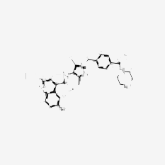 Cc1nn(Cc2ccc(C(=O)N3CCOCC3)cc2)c(C)c1NC(=O)c1cc(C(F)(F)F)nc2ccc(Br)cc12